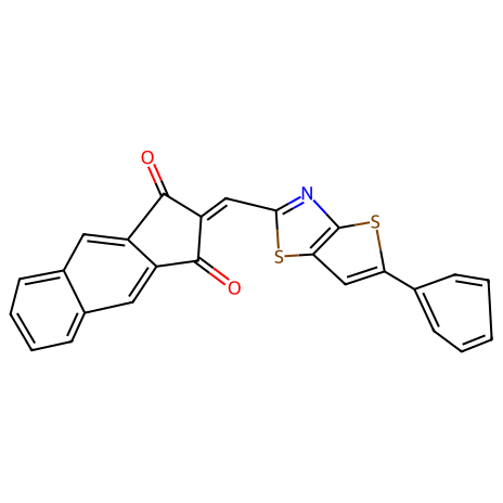 O=C1C(=Cc2nc3sc(-c4ccccc4)cc3s2)C(=O)c2cc3ccccc3cc21